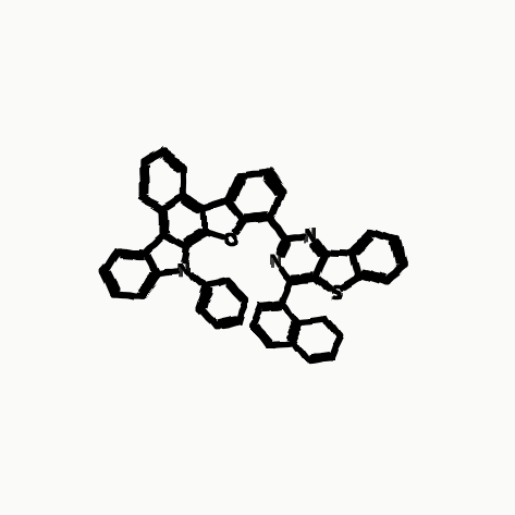 C1=Cc2cccc(-c3nc(-c4cccc5c4oc4c5c5ccccc5c5c6ccccc6n(-c6ccccc6)c45)nc4c3sc3ccccc34)c2CC1